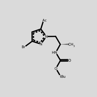 CC(=O)c1cc(Br)nn1C[C@H](C)NC(=O)OC(C)(C)C